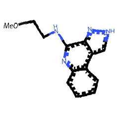 COCCNc1nc2ccccc2c2c[nH]nc12